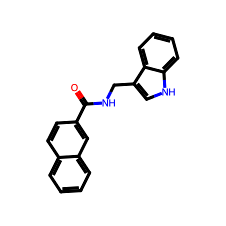 O=C(NCc1c[nH]c2ccccc12)c1ccc2ccccc2c1